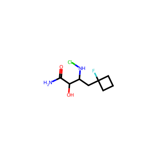 NC(=O)C(O)C(CC1(F)CCC1)NCl